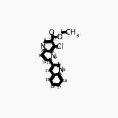 CCOC(=O)c1cnc2ccc(-c3cnc4ccccc4c3)nc2c1Cl